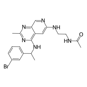 CC(=O)NCCNc1cc2c(NC(C)c3cccc(Br)c3)nc(C)nc2cn1